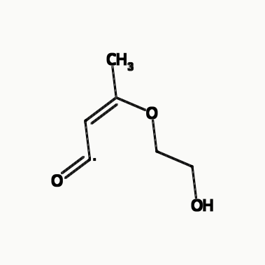 CC(=C[C]=O)OCCO